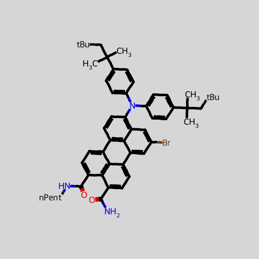 CCCCCNC(=O)c1ccc2c3ccc(N(c4ccc(C(C)(C)CC(C)(C)C)cc4)c4ccc(C(C)(C)CC(C)(C)C)cc4)c4cc(Br)cc(c5ccc(C(N)=O)c1c25)c43